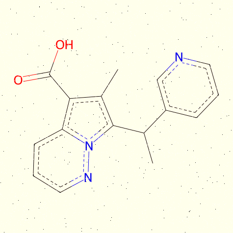 Cc1c(C(=O)O)c2cccnn2c1C(C)c1cccnc1